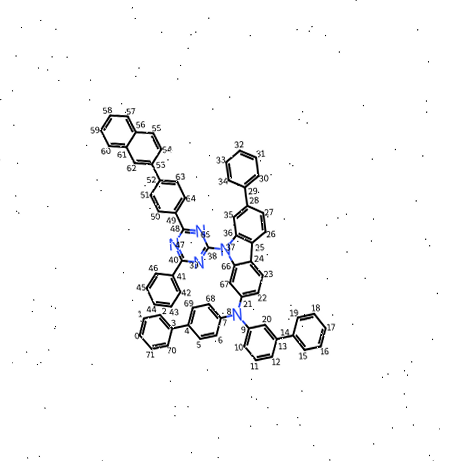 c1ccc(-c2ccc(N(c3cccc(-c4ccccc4)c3)c3ccc4c5ccc(-c6ccccc6)cc5n(-c5nc(-c6ccccc6)nc(-c6ccc(-c7ccc8ccccc8c7)cc6)n5)c4c3)cc2)cc1